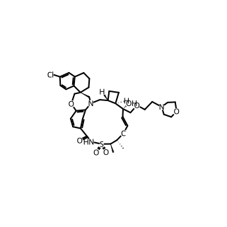 C[C@@H]1[C@@H](C)C/C=C/[C@](O)(COCCN2CCOCC2)[C@@H]2CC[C@H]2CN2C[C@@]3(CCCc4cc(Cl)ccc43)COc3ccc(cc32)C(=O)NS1(=O)=O